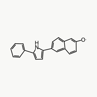 [O]c1ccc2cc(-c3ccc(-c4ccccc4)[nH]3)ccc2c1